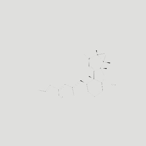 COC(=C\C(C)=C\[C@@H]1CCC[C@]2(OC)O[C@@H]3C(=CC(=O)[C@@H]4O[C@H]34)[C@@H]12)/C=C/C(=O)O